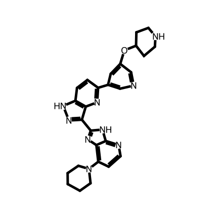 c1cc(N2CCCCC2)c2nc(-c3n[nH]c4ccc(-c5cncc(OC6CCNCC6)c5)nc34)[nH]c2n1